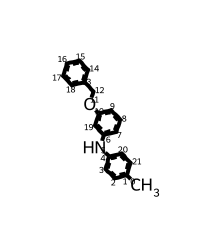 Cc1ccc(Nc2cccc(OCc3ccccc3)c2)cc1